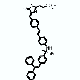 CCC[C@](C)(Nc1ccc(/C=C/c2ccc(/C=C3\N=C(SCC(=O)O)NC3=O)cc2)cc1)c1ccc(C=C(c2ccccc2)c2ccccc2)cc1